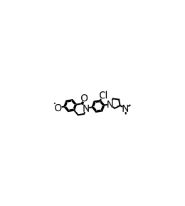 COc1ccc2c(c1)CCN(c1ccc(N3CCC(N(C)C)C3)c(Cl)c1)C2=O